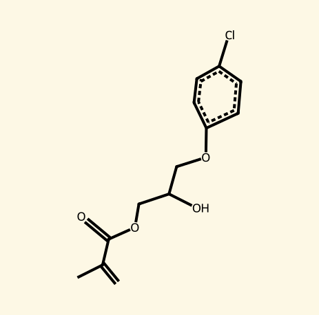 C=C(C)C(=O)OCC(O)COc1ccc(Cl)cc1